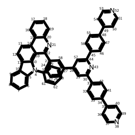 c1ccc(-n2c3ccccc3c3ccc4c5ccccc5nc(-c5cccc(-c6cc(-c7ccc(-c8ccncc8)cc7)nc(-c7ccc(-c8ccncc8)cc7)c6)c5)c4c32)cc1